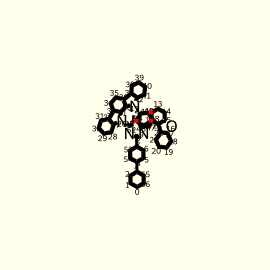 c1ccc(-c2ccc(-c3nc(-c4cccc5oc6ccccc6c45)nc(-n4c5ccccc5c5ccc6c7ccccc7n(-c7ccccc7)c6c54)n3)cc2)cc1